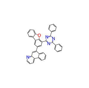 c1ccc(-c2nc(-c3ccccc3)nc(-c3cc(-c4cc5ncccc5c5ccccc45)cc4c3oc3ccccc34)n2)cc1